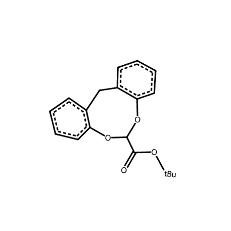 CC(C)(C)OC(=O)C1Oc2ccccc2Cc2ccccc2O1